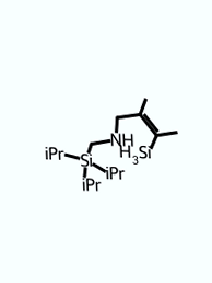 CC([SiH3])=C(C)CNC[Si](C(C)C)(C(C)C)C(C)C